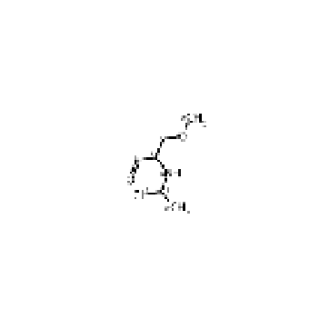 COCC(C=O)NC(C)Cl